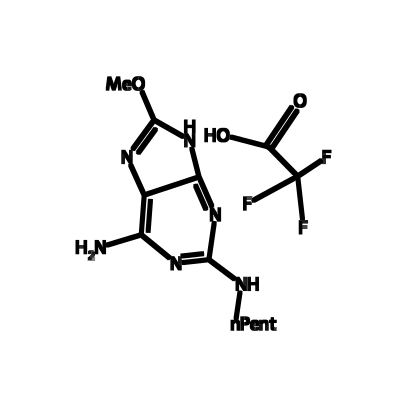 CCCCCNc1nc(N)c2nc(OC)[nH]c2n1.O=C(O)C(F)(F)F